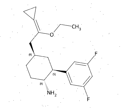 CCOC(C[C@@H]1CC[C@@H](N)[C@H](c2cc(F)cc(F)c2)C1)=C1CC1